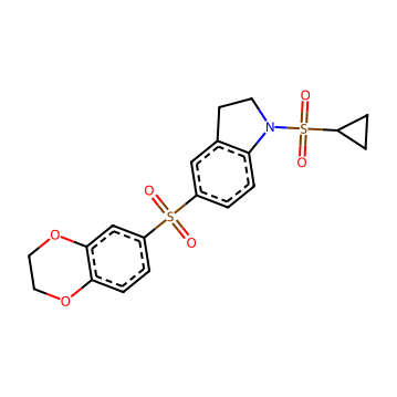 O=S(=O)(c1ccc2c(c1)CCN2S(=O)(=O)C1CC1)c1ccc2c(c1)OCCO2